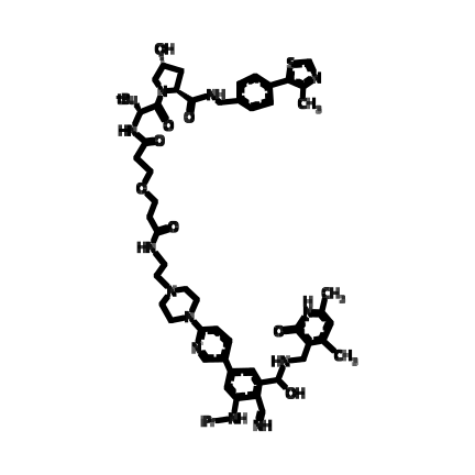 Cc1cc(C)c(CNC(O)c2cc(-c3ccc(N4CCN(CCNC(=O)CCOCCC(=O)N[C@H](C(=O)N5C[C@H](O)C[C@H]5C(=O)NCc5ccc(-c6scnc6C)cc5)C(C)(C)C)CC4)nc3)cc(NC(C)C)c2C=N)c(=O)[nH]1